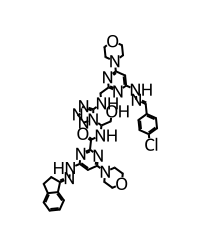 O=C(NC(CO)n1nnnc1NCc1nc(NN=Cc2ccc(Cl)cc2)cc(N2CCOCC2)n1)c1nc(NN=C2CCc3ccccc32)cc(N2CCOCC2)n1